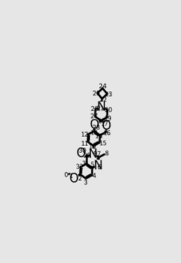 COc1ccc2nc(C)n(-c3ccc4c(c3)COC3(CCN(C5CCC5)CC3)O4)c(=O)c2c1